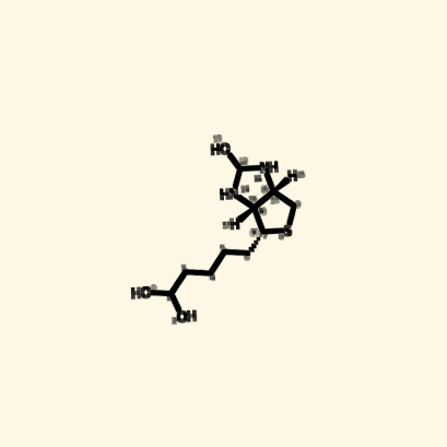 OC(O)CCCC[C@H]1SC[C@H]2NC(O)N[C@H]21